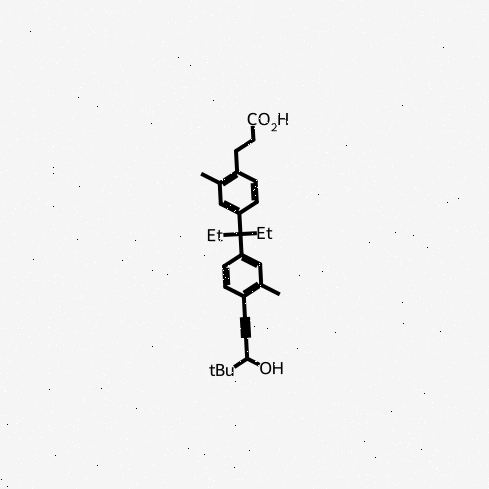 CCC(CC)(c1ccc(C#CC(O)C(C)(C)C)c(C)c1)c1ccc(CCC(=O)O)c(C)c1